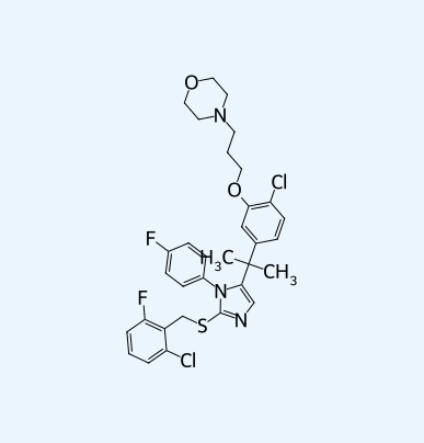 CC(C)(c1ccc(Cl)c(OCCCN2CCOCC2)c1)c1cnc(SCc2c(F)cccc2Cl)n1-c1ccc(F)cc1